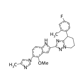 COc1c(-n2cnc(C)c2)ccc2[nH]c(-c3nc4n(n3)CCCC4c3ccc(F)cc3C)cc12